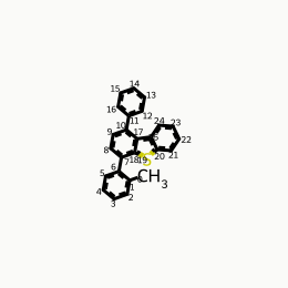 Cc1ccccc1-c1ccc(-c2ccccc2)c2c1sc1ccccc12